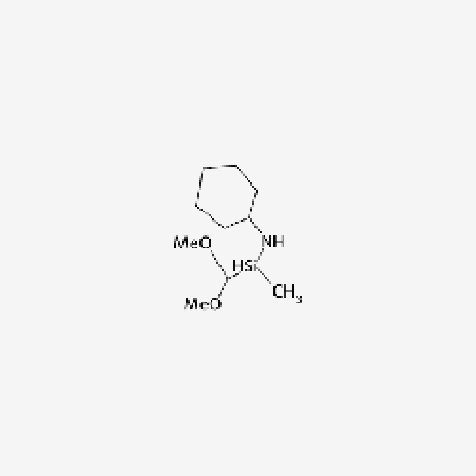 COC(OC)[SiH](C)NC1CCCCC1